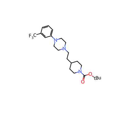 CC(C)(C)OC(=O)N1CCC(CCN2CCN(c3cccc(C(F)(F)F)c3)CC2)CC1